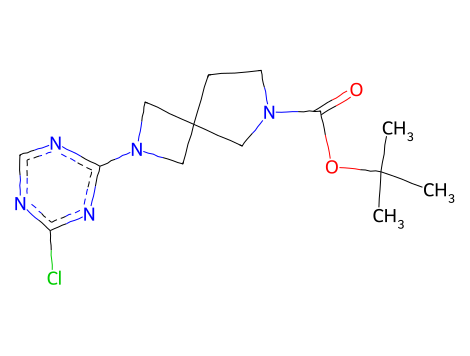 CC(C)(C)OC(=O)N1CCC2(C1)CN(c1ncnc(Cl)n1)C2